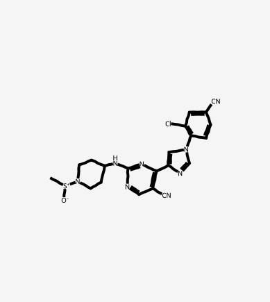 C[S+]([O-])N1CCC(Nc2ncc(C#N)c(-c3cn(-c4ccc(C#N)cc4Cl)cn3)n2)CC1